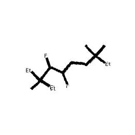 CCC(C)(C)CCC(F)C(F)C(C)(CC)CC